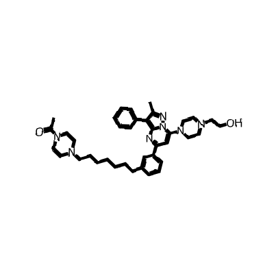 CC(=O)N1CCN(CCCCCCCc2cccc(-c3cc(N4CCN(CCO)CC4)n4nc(C)c(-c5ccccc5)c4n3)c2)CC1